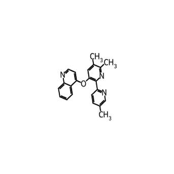 Cc1ccc(-c2nc(C)c(C)cc2Oc2ccnc3ccccc23)nc1